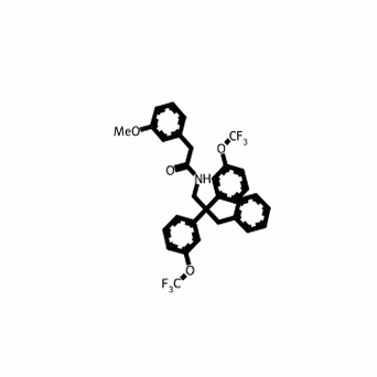 COc1cccc(CC(=O)NCC(Cc2ccccc2)(c2cccc(OC(F)(F)F)c2)c2cccc(OC(F)(F)F)c2)c1